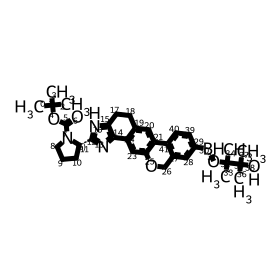 CC(C)(C)OC(=O)N1CCC[C@H]1c1nc2c([nH]1)CCc1cc3c(cc1-2)OCc1cc(BOC(C)(C)C(C)(C)O)ccc1-3